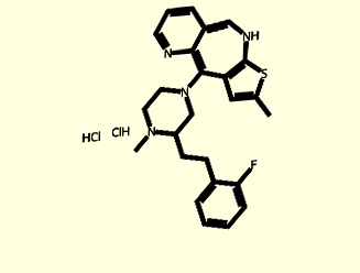 Cc1cc2c(s1)NC=c1cccnc1=C2N1CCN(C)C(CCc2ccccc2F)C1.Cl.Cl